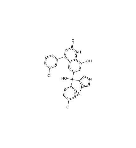 Cn1cncc1C(O)(c1ccc(Cl)cc1)c1cc(O)c2[nH]c(=O)cc(-c3cccc(Cl)c3)c2c1